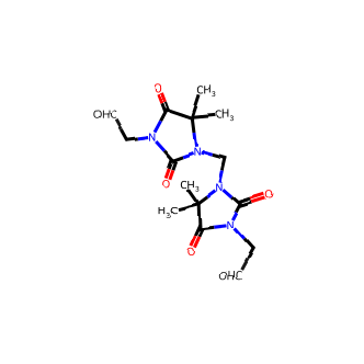 CC1(C)C(=O)N(CC=O)C(=O)N1CN1C(=O)N(CC=O)C(=O)C1(C)C